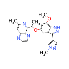 COc1cc(OC(C)c2nc(C)cc3nccnc23)cc2c(-c3cnn(C)c3)n[nH]c12